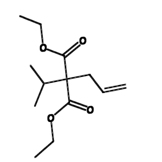 C=CCC(C(=O)OCC)(C(=O)OCC)C(C)C